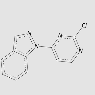 Clc1nccc(-n2ncc3ccccc32)n1